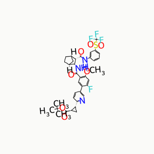 COc1cc(F)c(-c2ccc([C@@H]3C[C@H]3C(=O)OC(C)(C)C)nc2)cc1C(=O)N[C@@H]1[C@H]2CC[C@H](C2)[C@@H]1C(=O)Nc1cccc(S(=O)(=O)C(F)(F)F)c1